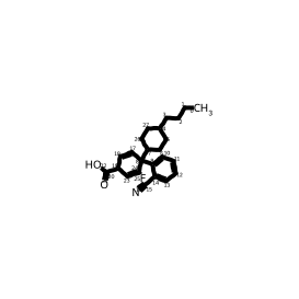 CCCCC1CCC(C2(c3ccccc3C#N)C=CC(C(=O)O)C=C2F)CC1